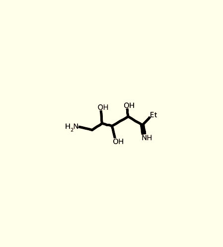 CCC(=N)C(O)C(O)C(O)CN